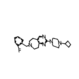 Fc1ccccc1CN1CCc2cnc(N3CCN(C4CCC4)CC3)nc2CC1